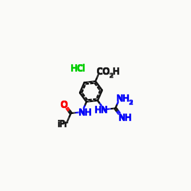 CC(C)C(=O)Nc1ccc(C(=O)O)cc1NC(=N)N.Cl